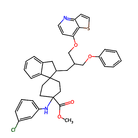 COC(=O)C1(Nc2cccc(Cl)c2)CCC2(CC1)c1ccccc1CC2CC(COc1ccccc1)COc1ccnc2ccsc12